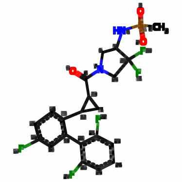 CS(=O)(=O)NC1CN(C(=O)C2CC2c2ccc(F)cc2-c2c(F)cccc2F)CC1(F)F